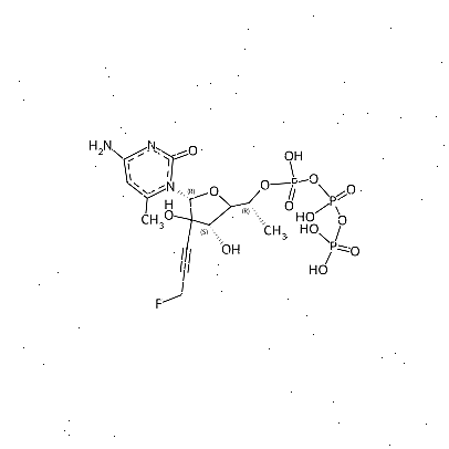 Cc1cc(N)nc(=O)n1[C@@H]1OC([C@@H](C)OP(=O)(O)OP(=O)(O)OP(=O)(O)O)[C@H](O)C1(O)C#CCF